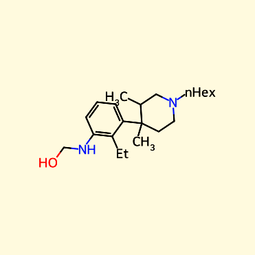 CCCCCCN1CCC(C)(c2cccc(NCO)c2CC)C(C)C1